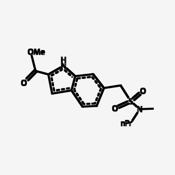 CCCN(C)S(=O)(=O)Cc1ccc2cc(C(=O)OC)[nH]c2c1